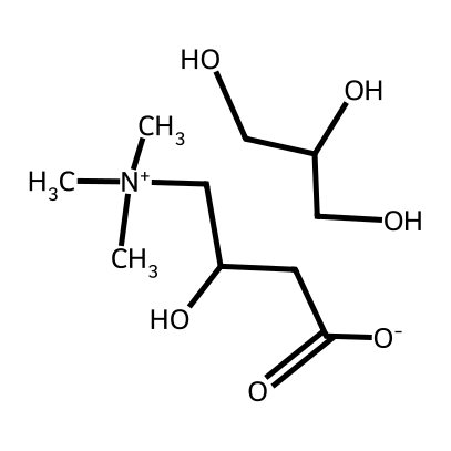 C[N+](C)(C)CC(O)CC(=O)[O-].OCC(O)CO